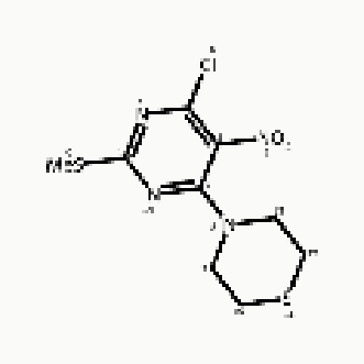 CSc1nc(Cl)c([N+](=O)[O-])c(N2CCSCC2)n1